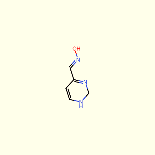 ON=CC1=NCNC=C1